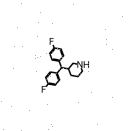 Fc1ccc(C(c2ccc(F)cc2)C2CCCNC2)cc1